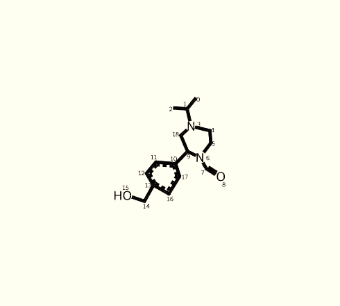 CC(C)N1CCN(C=O)C(c2ccc(CO)cc2)C1